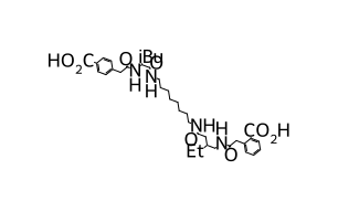 CCC(CNC(=O)Cc1ccccc1C(=O)O)CC(=O)NCCCCCCCCNC(=O)[C@@H](NC(=O)Cc1ccc(C(=O)O)cc1)C(C)CC